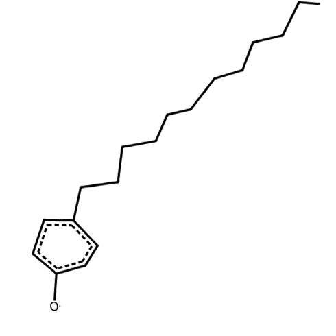 CCCCCCCCCCCCc1ccc([O])cc1